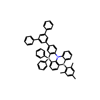 Cc1cc(C)c(B2c3ccccc3N3c4ccc(-c5cc(-c6ccccc6)cc(-c6ccccc6)c5)cc4[Si](c4ccccc4)(c4ccccc4)c4cccc2c43)c(C)c1